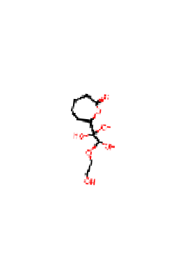 O=C1CCCCC(C(O)(O)C(O)OCCO)O1